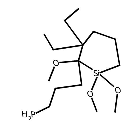 CCC1(CC)CCC[Si](OC)(OC)C1(CCCP)OC